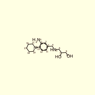 Nc1cc(CNCC(O)CO)ccc1N1CCCCC1